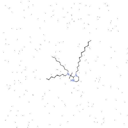 CCCCCCCCCCCCCCN1CCCNC1C(C)(C)N(CCCCCCCC)CCCCCCCC